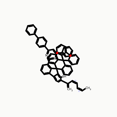 C=C(/C=C\C=C/C)c1ccc2c(c1S)C1(c3ccccc3C3(c4ccccc4-c4ccccc43)c3ccccc31)c1c(-c3nc(-c4ccccc4)cc(-c4ccc(-c5ccccc5)cc4)n3)cccc1-2